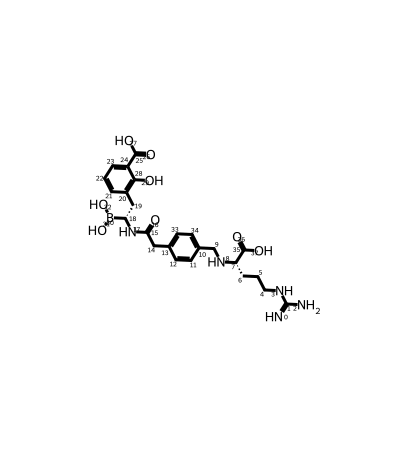 N=C(N)NCCC[C@H](NCc1ccc(CC(=O)N[C@@H](Cc2cccc(C(=O)O)c2O)B(O)O)cc1)C(=O)O